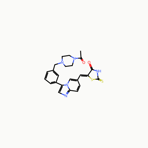 CC(=O)N1CCN(Cc2cccc(-c3cnc4ccc(/C=C5\SC(=S)NC5=O)cn34)c2)CC1